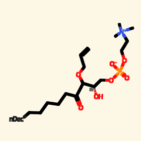 C=CCOC(C(=O)CCCCCCCCCCCCCCC)[C@@H](O)COP(=O)([O-])OCC[N+](C)(C)C